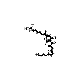 C/C(=C\c1ccc(CCCO)s1)C(=O)c1c(O)cc(C(C)CC/C=C/NC(=O)O)oc1=O